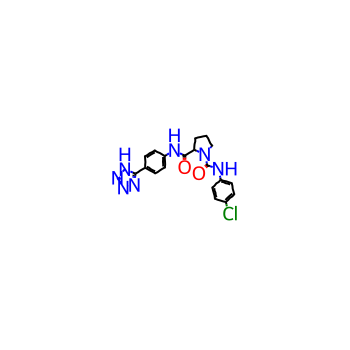 O=C(Nc1ccc(-c2nnn[nH]2)cc1)C1CCCN1C(=O)Nc1ccc(Cl)cc1